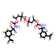 C=C(C)c1cccc(C(C)(C)NC(=O)OC(C)CC(C)(C)OOC(C)(C)CC(C)OC(=O)NC(C)(C)c2cccc(C(=C)C)c2)c1